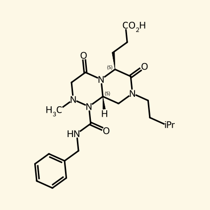 CC(C)CCN1C[C@H]2N(C(=O)CN(C)N2C(=O)NCc2ccccc2)[C@@H](CCC(=O)O)C1=O